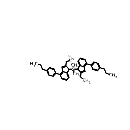 CCCc1ccc(-c2cccc3c2C=C(CC)C3[Si](C)(C)C2C(CC)=Cc3c(-c4ccc(CCC)cc4)cccc32)cc1